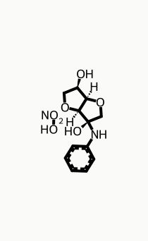 O=[N+]([O-])O.O[C@@H]1CO[C@H]2[C@@H]1OC[C@]2(O)Nc1ccccc1